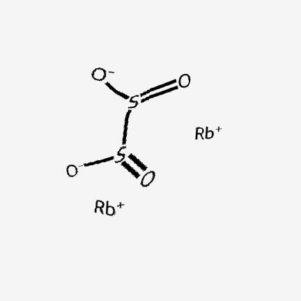 O=S([O-])S(=O)[O-].[Rb+].[Rb+]